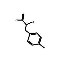 Cc1ccc(CC(Cl)C(=O)Cl)cc1